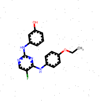 CCOc1ccc(Nc2nc(Nc3cccc(O)c3)ncc2F)cc1